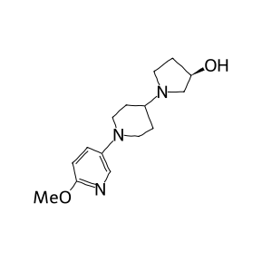 COc1ccc(N2CCC(N3CC[C@@H](O)C3)CC2)cn1